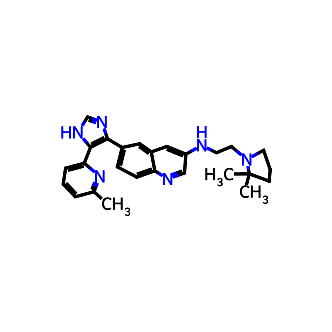 Cc1cccc(-c2[nH]cnc2-c2ccc3ncc(NCCN4CCCC4(C)C)cc3c2)n1